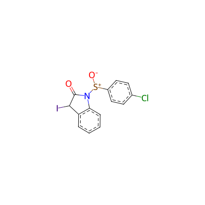 O=C1C(I)c2ccccc2N1[S+]([O-])c1ccc(Cl)cc1